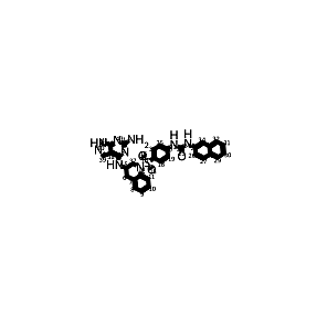 Nc1nc(NC2Cc3ccccc3N(S(=O)(=O)c3ccc(NC(=O)Nc4ccc5ccccc5c4)cc3)C2)c2cn[nH]c2n1